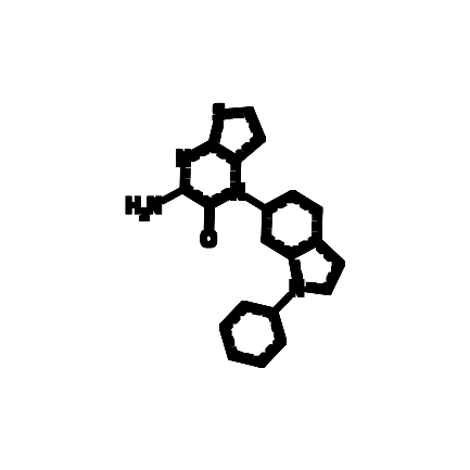 Nc1nc2sccc2n(-c2ccc3ccn(-c4ccccc4)c3c2)c1=O